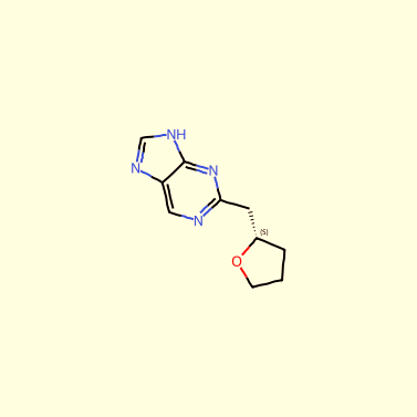 c1nc2cnc(C[C@@H]3CCCO3)nc2[nH]1